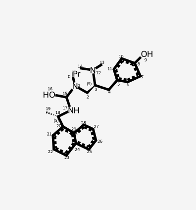 CC(C)N(C[C@H](Cc1ccc(O)cc1)N(C)C)C(O)N[C@@H](C)c1cccc2ccccc12